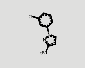 CC(C)(C)c1ccn(-c2cccc(Cl)c2)n1